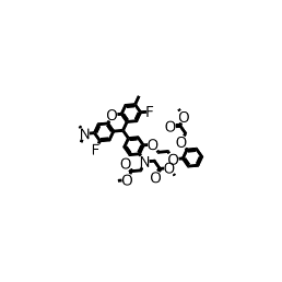 COC(=O)COc1ccccc1OCCOc1cc(C2c3cc(F)c(C)cc3Oc3cc(N(C)C)c(F)cc32)ccc1N(CC(=O)OC)CC(=O)OC